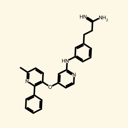 Cc1ccc(Oc2ccnc(Nc3cccc(CCC(=N)N)c3)c2)c(-c2ccccc2)n1